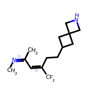 C/N=C(C)\C=C(/CCC1CC2(CNC2)C1)C(F)(F)F